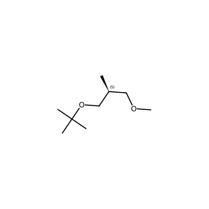 COC[C@H](C)COC(C)(C)C